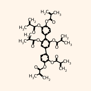 C=C(C)C(=O)Oc1ccc(-c2cc(OC(=O)C(=C)C)c(-c3ccc(OC(=O)C(=C)C)c(OC(=O)C(=C)C)c3)c(OC(=O)C(=C)C)c2)cc1OC(=O)C(=C)C